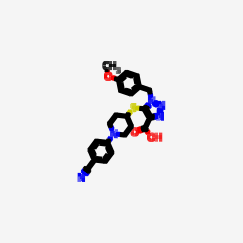 COc1ccc(Cn2nnc(C(=O)O)c2SC2CCN(c3ccc(C#N)cc3)CC2)cc1